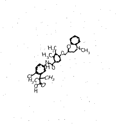 Cc1c(OC[C@@H]2CN(C)c3ccccc3O2)ccc(C(=O)Nc2ccc(Cl)c(C(C)(C)C(=O)O)c2)c1C